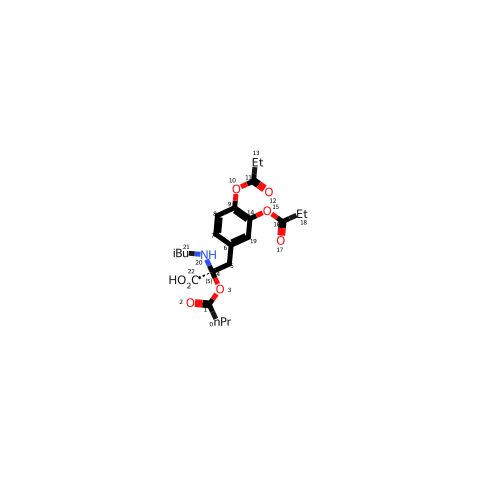 CCCC(=O)O[C@](Cc1ccc(OC(=O)CC)c(OC(=O)CC)c1)(NC(C)CC)C(=O)O